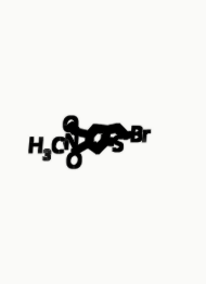 CN1C(=O)c2cc3cc(Br)sc3cc2C1=O